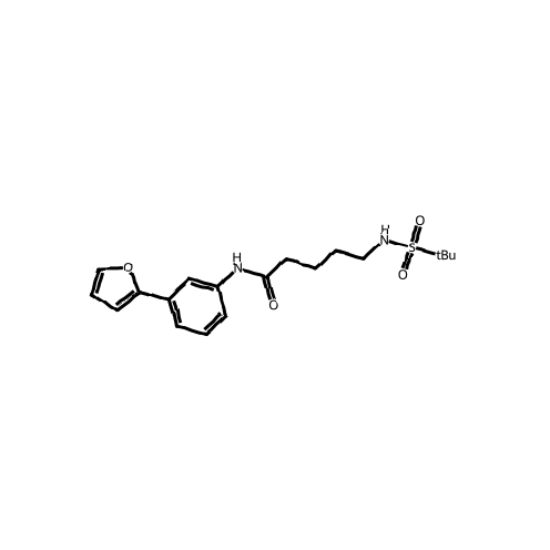 CC(C)(C)S(=O)(=O)NCCCCC(=O)Nc1cccc(-c2ccco2)c1